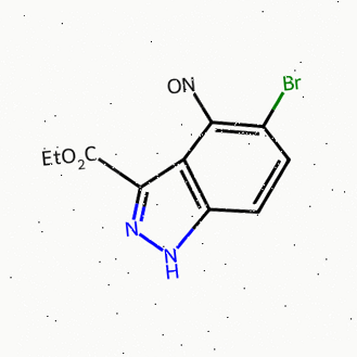 CCOC(=O)c1n[nH]c2ccc(Br)c(N=O)c12